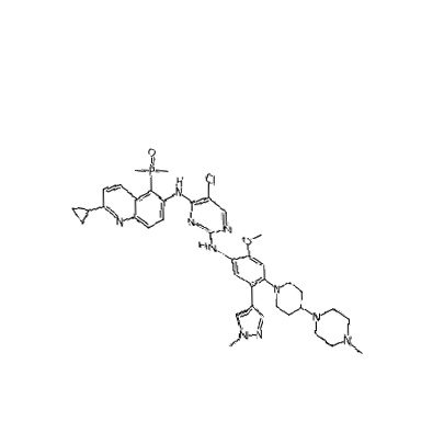 COc1cc(N2CCC(N3CCN(C)CC3)CC2)c(-c2cnn(C)c2)cc1Nc1ncc(Cl)c(Nc2ccc3nc(C4CC4)ccc3c2P(C)(C)=O)n1